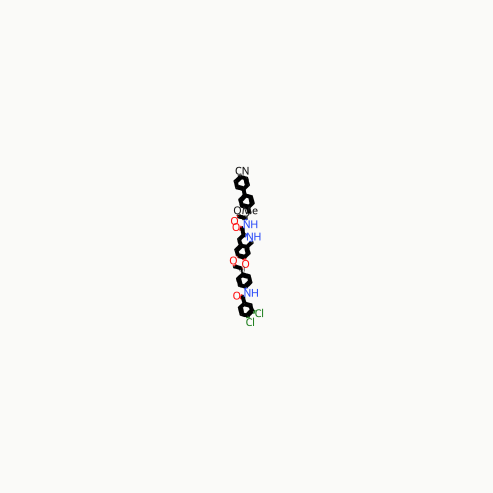 COC(=O)[C@H](Cc1ccc(-c2ccc(C#N)cc2)cc1)NC(=O)C1Cc2cc3c(cc2CN1)O[C@@H](c1ccc(NC(=O)c2ccc(Cl)c(Cl)c2)cc1)CO3